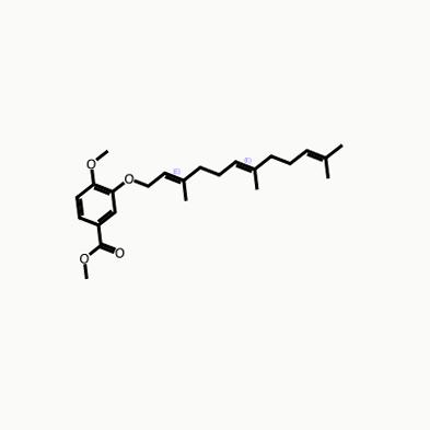 COC(=O)c1ccc(OC)c(OC/C=C(\C)CC/C=C(\C)CCC=C(C)C)c1